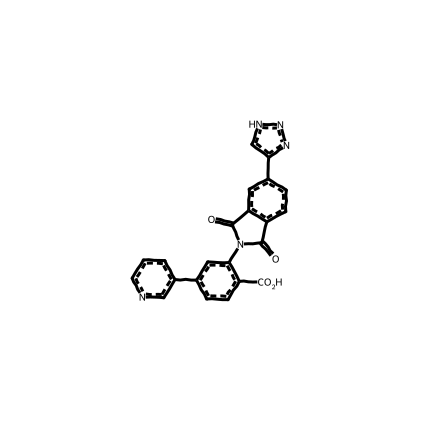 O=C(O)c1ccc(-c2cccnc2)cc1N1C(=O)c2ccc(-c3c[nH]nn3)cc2C1=O